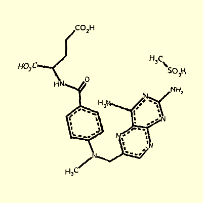 CN(Cc1cnc2nc(N)nc(N)c2n1)c1ccc(C(=O)NC(CCC(=O)O)C(=O)O)cc1.CS(=O)(=O)O